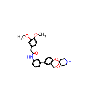 COc1ccc(CC(=O)Nc2cccc(-c3ccc4c(c3)COC3(CCNCC3)O4)c2)cc1OC